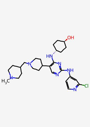 CN1CCC(CN2CCC(c3cnc(Nc4ccnc(Cl)c4)nc3N[C@H]3CC[C@H](O)CC3)CC2)CC1